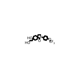 O=C1N(c2ccc(OC(F)(F)F)cc2)CCC12CCC(O)(CCO)CC2